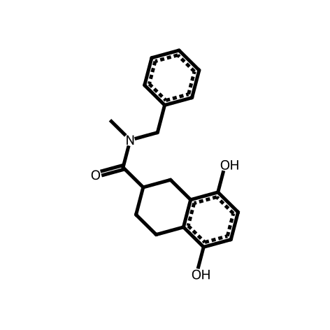 CN(Cc1ccccc1)C(=O)C1CCc2c(O)ccc(O)c2C1